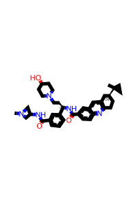 CN1CC(NC(=O)c2cccc([C@@H](CCN3CCC(O)CC3)NC(=O)c3ccc4nc5c(cc4c3)C[C@@H](C3(C)CC3)CC5)c2)C1